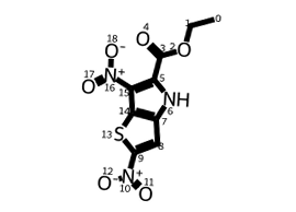 CCOC(=O)c1[nH]c2cc([N+](=O)[O-])sc2c1[N+](=O)[O-]